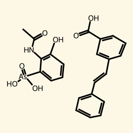 CC(=O)Nc1c(O)cccc1[As](=O)(O)O.O=C(O)c1cccc(C=Cc2ccccc2)c1